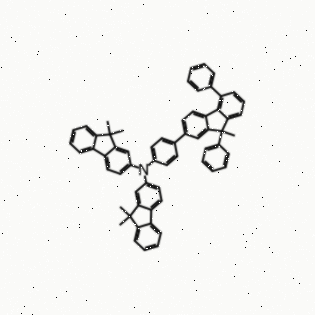 CC1(C)c2ccccc2-c2ccc(N(c3ccc(-c4ccc5c(c4)C(C)(c4ccccc4)c4cccc(-c6ccccc6)c4-5)cc3)c3ccc4c(c3)C(C)(C)c3ccccc3-4)cc21